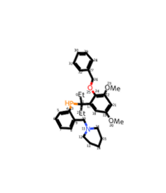 CCC(CC)(Pc1ccccc1CN1CCCCC1)c1cc(OC)cc(OC)c1OCc1ccccc1